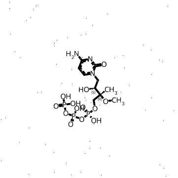 CO[C@](C)(COP(=O)(O)OP(=O)(O)OP(=O)(O)O)[C@@H](O)Cn1ccc(N)nc1=O